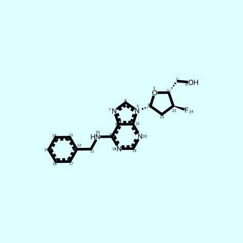 OC[C@H]1O[C@@H](n2cnc3c(NCc4ccccc4)ncnc32)C[C@@H]1F